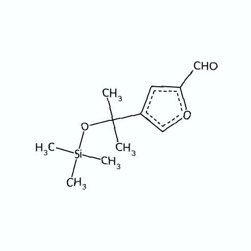 CC(C)(O[Si](C)(C)C)c1coc(C=O)c1